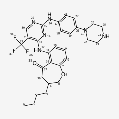 CCCCC1COc2cccc(Nc3nc(Nc4ccc(N5CCNCC5)cc4)ncc3C(F)(F)F)c2C(=O)C1